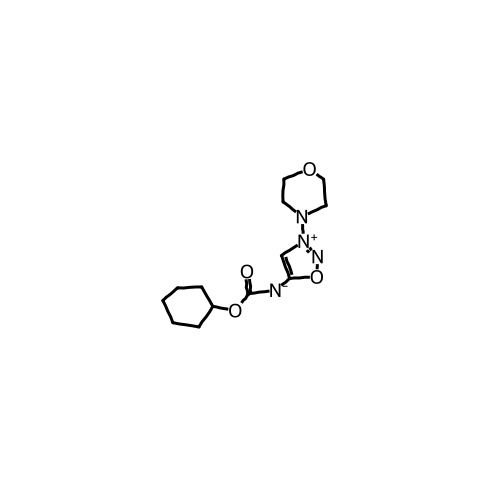 O=C([N-]c1c[n+](N2CCOCC2)no1)OC1CCCCC1